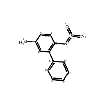 Nc1ccc(N=S(=O)=O)c(-c2ccccc2)c1